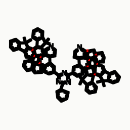 CC1(C)c2ccccc2-c2cc3c4ccccc4n(-c4ccc(-c5nc(-c6ccccc6)nc(-c6ccc(-n7c8ccccc8c8cc9c(cc87)C(C)(C)c7ccccc7-9)c(-c7ccncc7-n7c8ccccc8c8cc9c(cc87)C(C)(C)c7ccccc7-9)c6)n5)cc4-c4ccncc4-n4c5ccccc5c5cc6c(cc54)C(C)(C)c4ccccc4-6)c3cc21